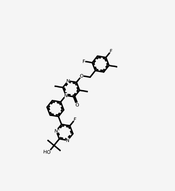 Cc1cc(COc2nc(C)n(-c3cccc(-c4nc(C(C)(C)O)ncc4F)c3)c(=O)c2C)c(F)cc1F